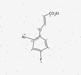 CCOC(=O)C=COc1ccc(F)cc1C(C)=O